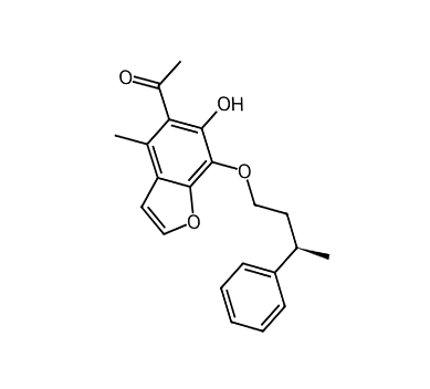 CC(=O)c1c(O)c(OCC[C@@H](C)c2ccccc2)c2occc2c1C